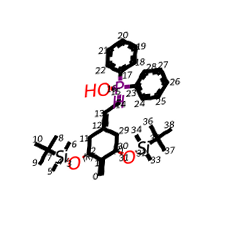 C=C1[C@H](O[Si](C)(C)C(C)(C)C)CC(=CC[PH](O)(c2ccccc2)c2ccccc2)C[C@H]1O[Si](C)(C)C(C)(C)C